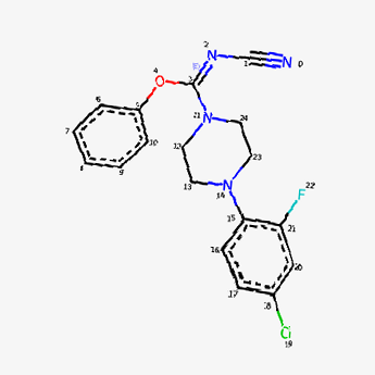 N#C/N=C(/Oc1ccccc1)N1CCN(c2ccc(Cl)cc2F)CC1